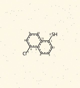 Sc1cccc2c(Cl)cccc12